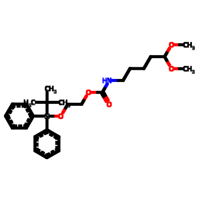 COC(CCCCNC(=O)OCCO[Si](c1ccccc1)(c1ccccc1)C(C)(C)C)OC